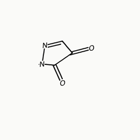 O=C1C=N[N]C1=O